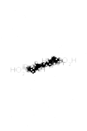 CC(C)[C@@H](C(=O)N1CCC[C@H]1c1nc2c(F)cc(-c3ccc(-c4cc(F)c5nc([C@@H]6CCCN6C(=O)[C@H](C(C)C)N(C)C(=O)O)[nH]c5c4)cc3)cc2[nH]1)N(C)C(=O)O